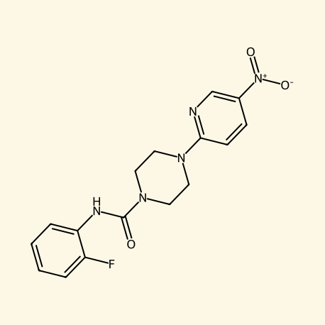 O=C(Nc1ccccc1F)N1CCN(c2ccc([N+](=O)[O-])cn2)CC1